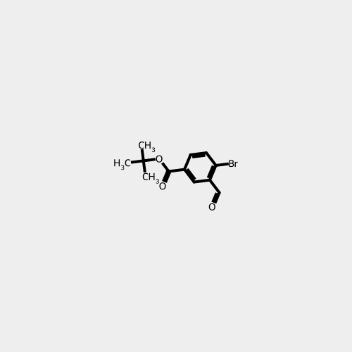 CC(C)(C)OC(=O)c1ccc(Br)c(C=O)c1